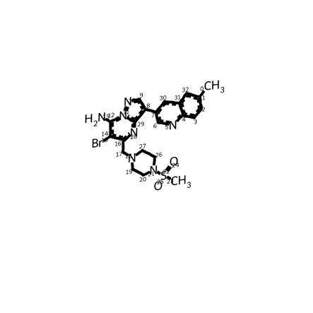 Cc1ccc2ncc(-c3cnn4c(N)c(Br)c(CN5CCN(S(C)(=O)=O)CC5)nc34)cc2c1